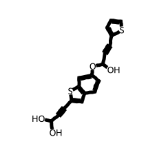 OC(O)C#Cc1cc2ccc(OC(O)C#Cc3cccs3)cc2s1